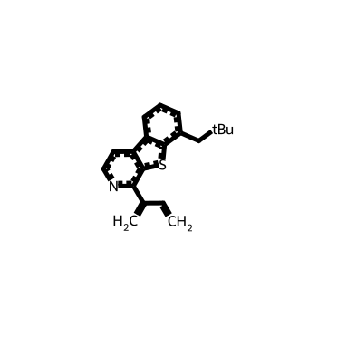 C=CC(=C)c1nccc2c1sc1c(CC(C)(C)C)cccc12